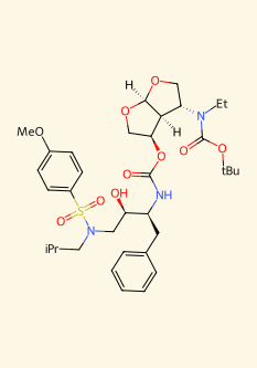 CCN(C(=O)OC(C)(C)C)[C@H]1CO[C@@H]2OC[C@H](OC(=O)N[C@@H](Cc3ccccc3)[C@H](O)CN(CC(C)C)S(=O)(=O)c3ccc(OC)cc3)[C@@H]21